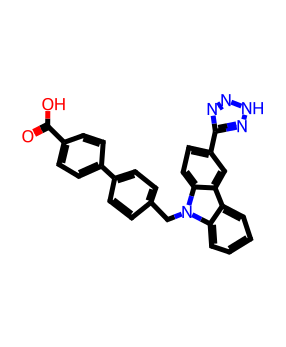 O=C(O)c1ccc(-c2ccc(Cn3c4ccccc4c4cc(-c5nn[nH]n5)ccc43)cc2)cc1